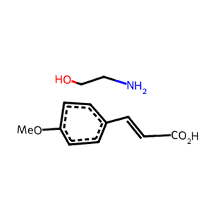 COc1ccc(/C=C/C(=O)O)cc1.NCCO